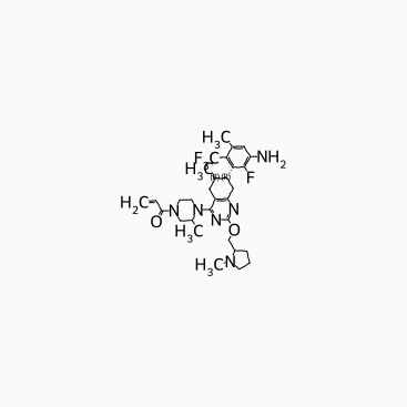 C=CC(=O)N1CCN(c2nc(OCC3CCCN3C)nc3c2C[C@@H](C)[C@H](c2c(F)c(N)cc(C)c2C(F)(F)F)C3)C(C)C1